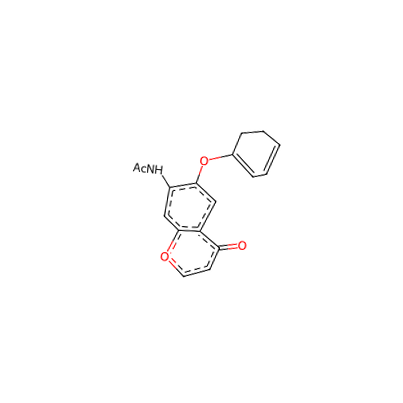 CC(=O)Nc1cc2occc(=O)c2cc1OC1=CC=CCC1